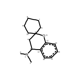 CN(C)C1CC2(CCCCC2)Oc2ccccc21